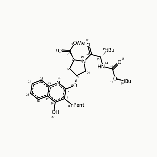 CCCCCc1c(O[C@@H]2C[C@@H](C(=O)OC)N(C(=O)[C@@H](NC(=O)O[C@H](C)CC)C(C)(C)C)C2)nc2ccccc2c1O